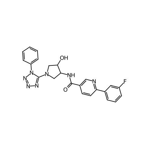 O=C(NC1CN(c2nnnn2-c2ccccc2)CC1O)c1ccc(-c2cccc(F)c2)nc1